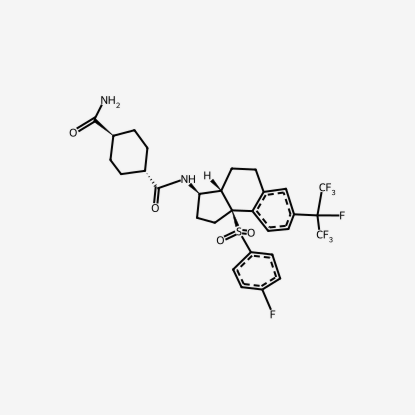 NC(=O)[C@H]1CC[C@H](C(=O)N[C@@H]2CC[C@@]3(S(=O)(=O)c4ccc(F)cc4)c4ccc(C(F)(C(F)(F)F)C(F)(F)F)cc4CC[C@@H]23)CC1